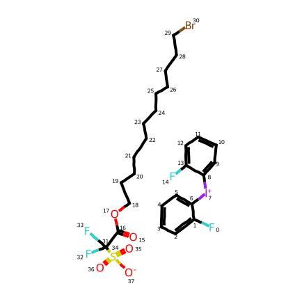 Fc1ccccc1[I+]c1ccccc1F.O=C(OCCCCCCCCCCCCBr)C(F)(F)S(=O)(=O)[O-]